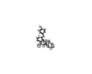 Cc1ccc(Cc2cccc3c(=O)cc(N4CCOCC4)[nH]c23)cc1